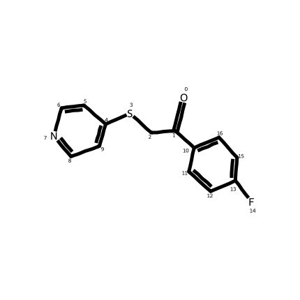 O=C(CSc1ccncc1)c1ccc(F)cc1